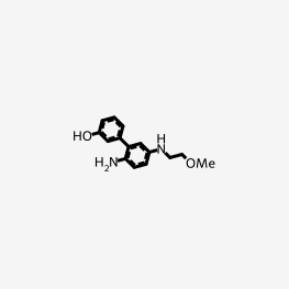 COCCNc1ccc(N)c(-c2cccc(O)c2)c1